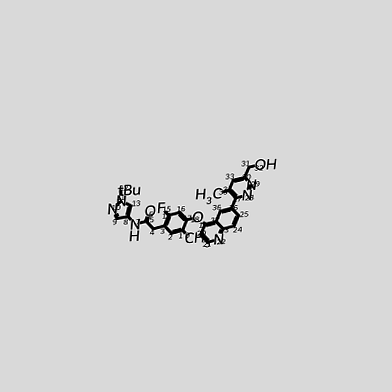 Cc1cc(CC(=O)Nc2cnn(C(C)(C)C)c2)c(F)cc1Oc1ccnc2ccc(-c3nnc(CO)cc3C)cc12